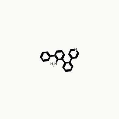 Nc1c(-c2ccccc2)cccc1-c1ccccc1-c1ccncc1